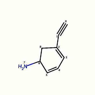 C#CC1=CC=CC(N)C1